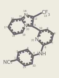 N#Cc1ccc(Nc2cccc(-c3c(C(F)(F)F)nc4ccccn34)n2)cc1